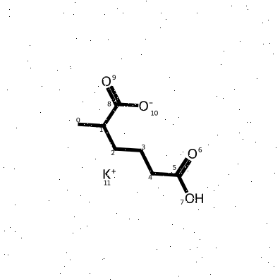 CC(CCCC(=O)O)C(=O)[O-].[K+]